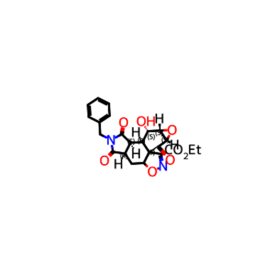 CCOC(=O)C1=NOC2C[C@H]3C(=O)N(Cc4ccccc4)C(=O)[C@H]3[C@H]3[C@H](O)[C@@H]4O[C@@H]4C(=O)[C@@]123